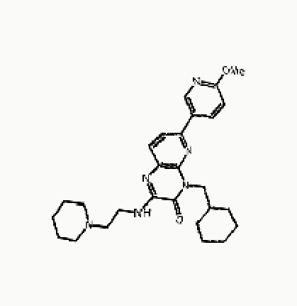 COc1ccc(-c2ccc3nc(NCCN4CCCCC4)c(=O)n(CC4CCCCC4)c3n2)cn1